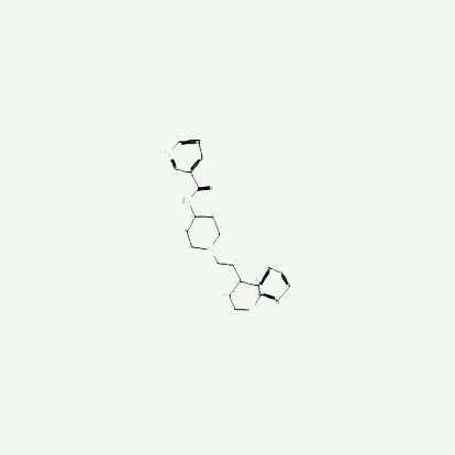 O=C(NC1CCN(CCC2CCOc3ccccc32)CC1)c1cccnc1